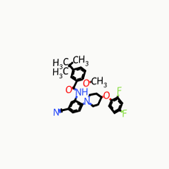 COc1ccc(C(C)(C)C)cc1C(=O)Nc1cc(C#N)ccc1N1CCC(Oc2ccc(F)cc2F)CC1